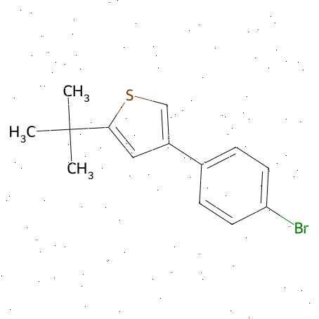 CC(C)(C)c1cc(-c2ccc(Br)cc2)cs1